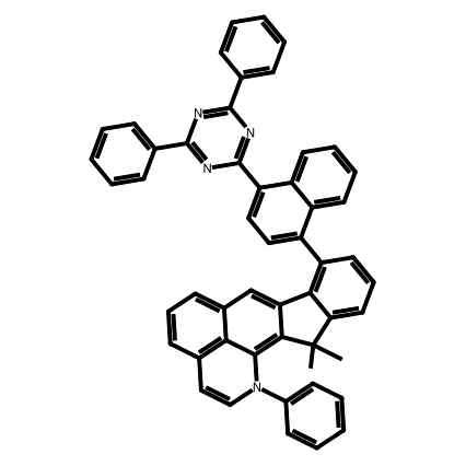 CC1(C)c2cccc(-c3ccc(-c4nc(-c5ccccc5)nc(-c5ccccc5)n4)c4ccccc34)c2-c2cc3cccc4c3c(c21)N(c1ccccc1)C=C4